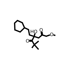 COCC(=O)CC(O)(CCC1CCCCC1)C(=O)C(C)(C)C